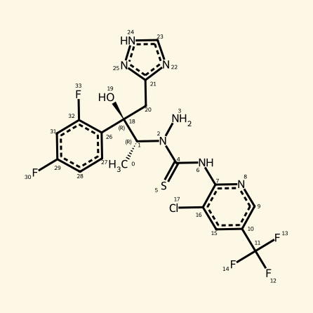 C[C@@H](N(N)C(=S)Nc1ncc(C(F)(F)F)cc1Cl)[C@@](O)(Cc1nc[nH]n1)c1ccc(F)cc1F